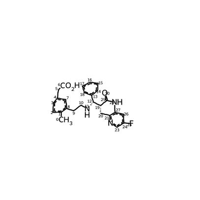 Cc1ccc(CC(=O)O)cc1CCN[C@H](c1ccccc1)[C@H]1Cc2ncc(F)cc2NC1=O